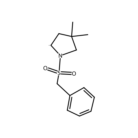 CC1(C)C[CH]N(S(=O)(=O)Cc2ccccc2)C1